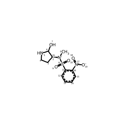 CN([C@H]1CCNC1O)S(=O)(=O)c1ccccc1[N+](=O)[O-]